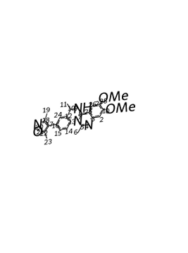 COc1cc2nc(C)nc(NC(C)c3cccc(-c4c(C)noc4C)c3)c2cc1OC